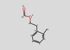 Cc1ccccc1CCOC=O